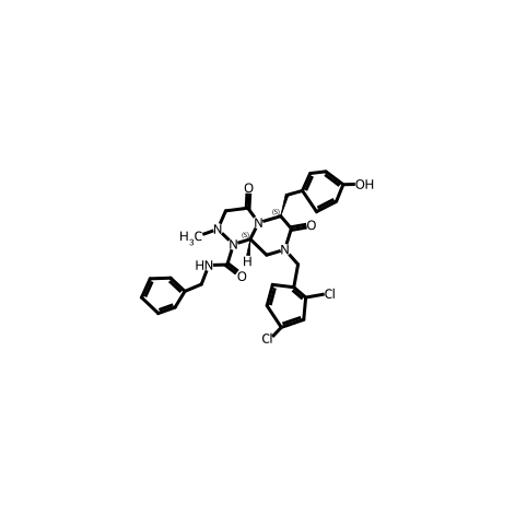 CN1CC(=O)N2[C@@H](Cc3ccc(O)cc3)C(=O)N(Cc3ccc(Cl)cc3Cl)C[C@@H]2N1C(=O)NCc1ccccc1